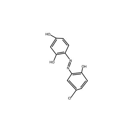 Oc1ccc(/N=N/c2cc(Cl)ccc2O)c(O)c1